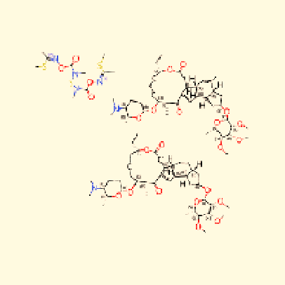 CC[C@H]1CCC[C@H](O[C@H]2CC[C@H](N(C)C)[C@@H](C)O2)[C@@H](C)C(=O)C2=C[C@@H]3[C@@H](C=C(C)[C@@H]4C[C@@H](O[C@@H]5O[C@@H](C)[C@H](OC)[C@@H](OC)[C@H]5OC)C[C@@H]34)[C@@H]2CC(=O)O1.CC[C@H]1CCC[C@H](O[C@H]2CC[C@H](N(C)C)[C@@H](C)O2)[C@@H](C)C(=O)C2=C[C@@H]3[C@@H](C=C[C@@H]4C[C@@H](O[C@@H]5O[C@@H](C)[C@H](OC)[C@@H](OC)[C@H]5OC)C[C@@H]34)[C@@H]2CC(=O)O1.CS/C(C)=N\OC(=O)N(C)SN(C)C(=O)O/N=C(/C)SC